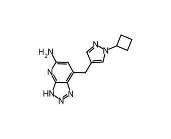 Nc1cc(Cc2cnn(C3CCC3)c2)c2nn[nH]c2n1